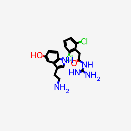 N=C(N)NC(=O)Cc1c(Cl)cccc1Cl.NCCc1c[nH]c2ccc(O)cc12